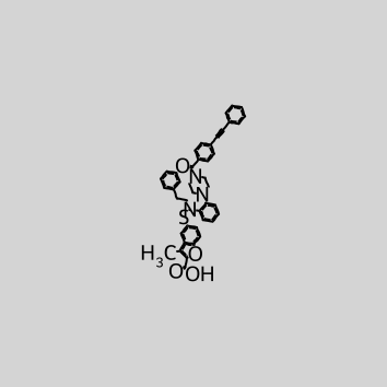 Cc1c(C(=O)O)oc2ccc(SN(CCc3ccccc3)c3ccccc3N3CCN(C(=O)c4ccc(C#Cc5ccccc5)cc4)CC3)cc12